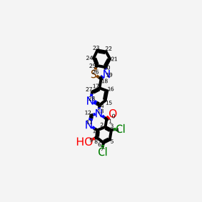 O=c1c2c(Cl)cc(Cl)c(O)c2ncn1-c1ccc(-c2nc3ccccc3s2)cn1